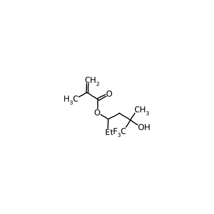 C=C(C)C(=O)OC(CC)CC(C)(O)C(F)(F)F